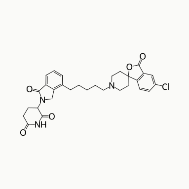 O=C1CCC(N2Cc3c(CCCCCN4CCC5(CC4)OC(=O)c4cc(Cl)ccc45)cccc3C2=O)C(=O)N1